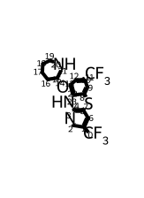 FC(F)(F)c1cnc2c(c1)Sc1cc(C(F)(F)F)cc(O[C@@H]3CCCCNC3)c1N2